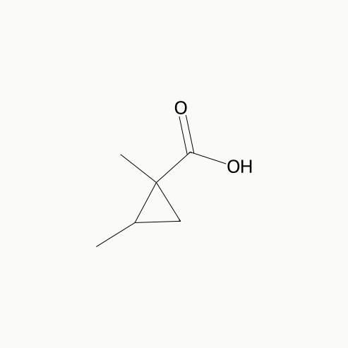 CC1CC1(C)C(=O)O